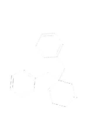 c1ccc(CC2(Cc3ccccc3)COCCS2)cc1